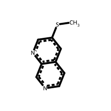 CSc1cnc2cnccc2c1